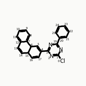 Clc1nc(C2=CC3c4ccccc4C=CC3C=C2)nc(-c2ccccc2)n1